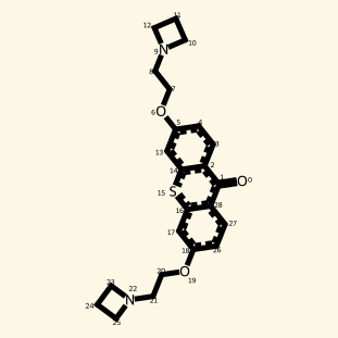 O=c1c2ccc(OCCN3CCC3)cc2sc2cc(OCCN3CCC3)ccc12